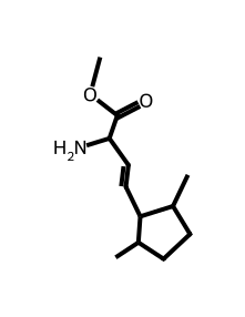 COC(=O)C(N)C=CC1C(C)CCC1C